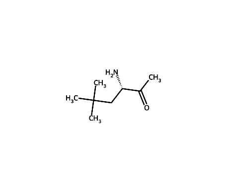 CC(=O)[C@@H](N)CC(C)(C)C